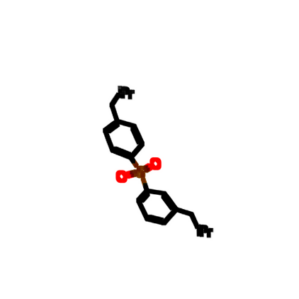 CC(C)Cc1ccc(S(=O)(=O)c2cccc(CC(C)C)c2)cc1